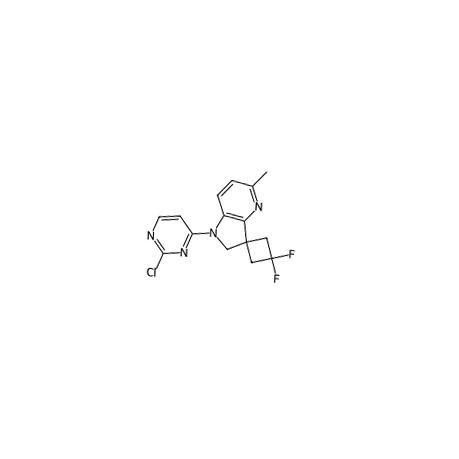 Cc1ccc2c(n1)C1(CN2c2ccnc(Cl)n2)CC(F)(F)C1